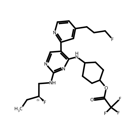 CC[C@H](F)CNc1ncc(-c2cc(CCCF)ccn2)c(NC2CCC(OC(=O)C(F)(F)F)CC2)n1